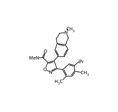 CNC(=O)c1onc(-c2cc(C(C)C)c(C)cc2C)c1-c1ccc2c(c1)CCN(C)C2